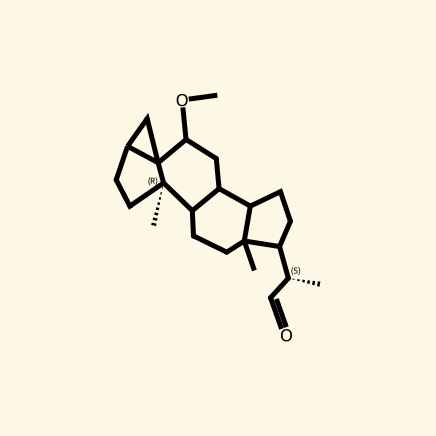 COC1CC2C3CCC([C@H](C)C=O)C3(C)CCC2[C@@]2(C)CCC3CC312